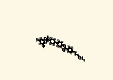 CCCCc1ccc(C(=O)OC2CC=C(C3CCC(C(F)(F)Oc4cc(F)cc(F)c4)CC3)CC2)cc1